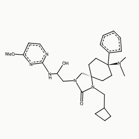 COc1ccnc(NC(O)CN2C[C@]3(CC[C@](c4ccccc4)(N(C)C)CC3)N(CC3CCC3)C2=O)n1